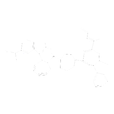 C=C/C=C(\C)C1=NC(C2CCCC(C(=C)C3CC#CC=CC3C(=C(C)C)C(=C/CC)/C=C(\C)C(C)C#N)CC2)=NC(c2ccccc2)C(C)N1